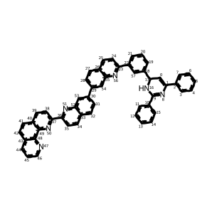 C1=C(c2ccccc2)N=C(c2ccccc2)NC1c1cccc(-c2ccc3ccc(-c4ccc5ccc(-c6ccc7ccc8cccnc8c7n6)nc5c4)cc3n2)c1